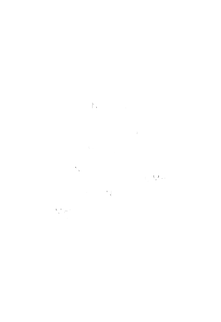 COc1nc(SC)nc2c1CCNC2